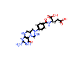 N=CN1c2c(nc(N)[nH]c2=O)NCC1CNc1ccc(C(=O)N[C@@H](CCC(=O)O)C(=O)O)cc1